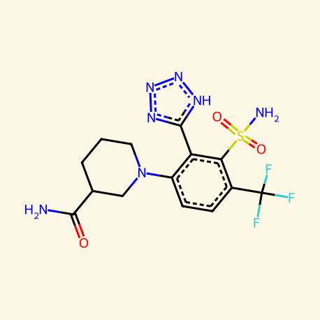 NC(=O)C1CCCN(c2ccc(C(F)(F)F)c(S(N)(=O)=O)c2-c2nnn[nH]2)C1